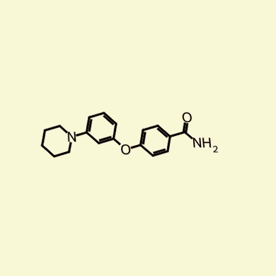 NC(=O)c1ccc(Oc2cccc(N3CCCCC3)c2)cc1